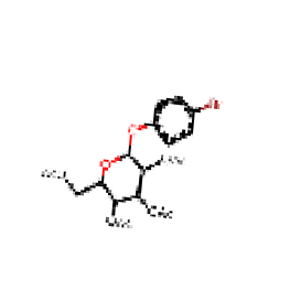 CC(=O)OCC1OC(Oc2ccc(Br)cc2)C(OC(C)=O)C(OC(C)=O)C1OC(C)=O